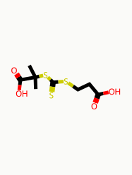 CC(C)(SC(=S)SCCC(=O)O)C(=O)O